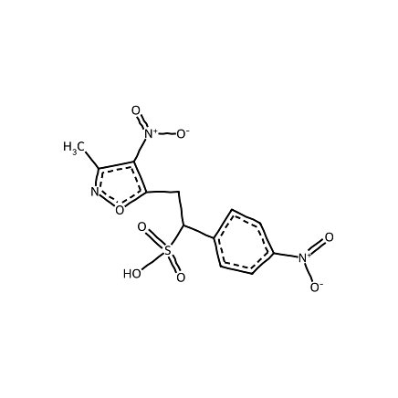 Cc1noc(CC(c2ccc([N+](=O)[O-])cc2)S(=O)(=O)O)c1[N+](=O)[O-]